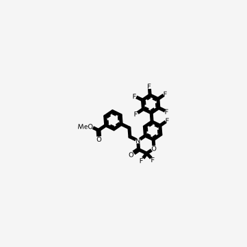 COC(=O)c1cccc(CCN2C(=O)C(F)(F)Oc3cc(F)c(-c4c(F)c(F)c(F)c(F)c4F)cc32)c1